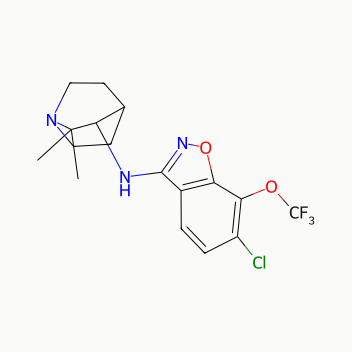 CC1(C)C(Nc2noc3c(OC(F)(F)F)c(Cl)ccc23)C2CCN1CC2